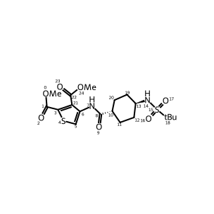 COC(=O)c1scc(NC(=O)[C@H]2CC[C@H](NS(=O)(=O)C(C)(C)C)CC2)c1C(=O)OC